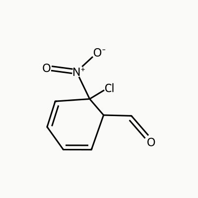 O=CC1C=CC=CC1(Cl)[N+](=O)[O-]